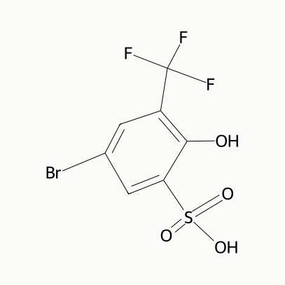 O=S(=O)(O)c1cc(Br)cc(C(F)(F)F)c1O